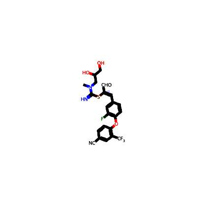 CN(CC(O)CO)C(=N)S/C(C=O)=C\c1ccc(Oc2ccc(C#N)cc2C(F)(F)F)c(F)c1